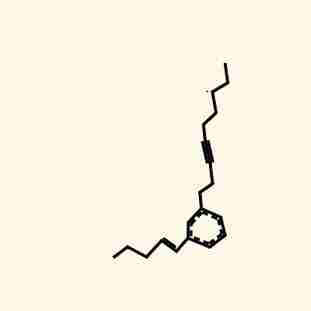 CC[CH]CCC#CCCc1cccc(C=CCCC)c1